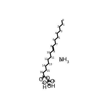 CCCCCCCCC=CCCCCCCCC(=O)OP(=O)(O)O.N